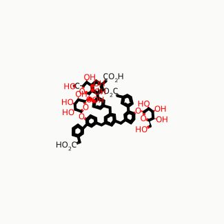 O=C(O)Cc1cccc(-c2cc(Cc3cc(Cc4ccc(O[C@@H]5O[C@H](CO)[C@@H](O)[C@H](O)[C@@H]5O)c(-c5cccc(CC(=O)O)c5)c4)cc(Cc4ccc(O[C@@H]5O[C@H](CO)[C@@H](O)[C@H](O)[C@@H]5O)c(-c5cccc(CC(=O)O)c5)c4)c3)ccc2O[C@@H]2O[C@H](CO)[C@@H](O)[C@H](O)[C@@H]2O)c1